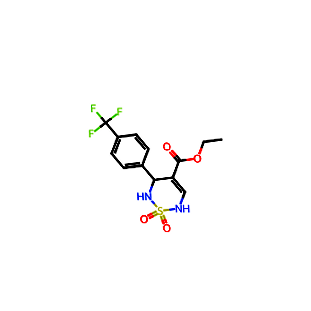 CCOC(=O)C1=CNS(=O)(=O)NC1c1ccc(C(F)(F)F)cc1